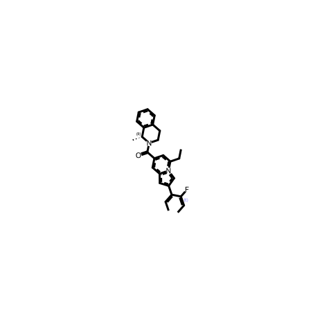 CC=C(/C(F)=C\C)c1cc2cc(C(=O)N3CCc4ccccc4[C@H]3C)cc(CC)n2c1